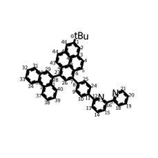 CC(C)(C)c1cc2ccc3c(-c4ccc(-c5cccc(-c6ccccn6)n5)cc4)cc(-c4cc5ccccc5c5ccccc45)c4ccc(c1)c2c34